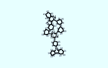 c1ccc(-c2nc(-c3ccc(-n4c5ccccc5c5ccccc54)cc3)nc(-c3cccc(-c4cccc(-c5nc6ccccc6c6sc7ccccc7c56)c4)c3)n2)cc1